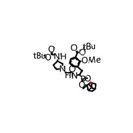 COc1c(CC(NC(=O)CN2CCC(NC(=O)OC(C)(C)C)C2)B2OC3CC4CC(C4(C)C)C3(C)O2)cccc1C(=O)OC(C)(C)C